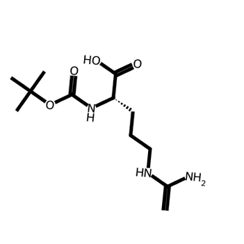 C=C(N)NCCC[C@H](NC(=O)OC(C)(C)C)C(=O)O